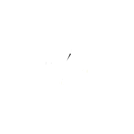 CC[C@H](C)C(S)S